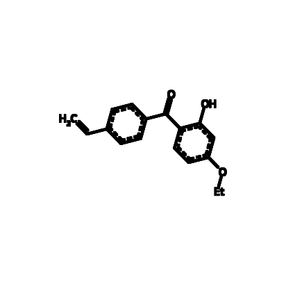 C=Cc1ccc(C(=O)c2ccc(OCC)cc2O)cc1